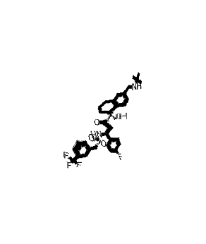 CC(C)(C)NCc1ccc2c(c1)CCCC2NC(=O)CC(NS(=O)(=O)Cc1cccc(C(F)(F)F)c1)c1ccc(F)cc1